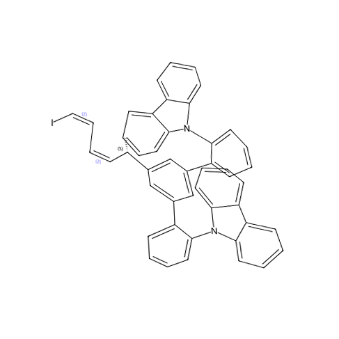 C[C@@H](/C=C\C=C/I)c1cc(-c2ccccc2-n2c3ccccc3c3ccccc32)cc(-c2ccccc2-n2c3ccccc3c3ccccc32)c1